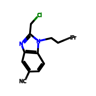 CC(C)CCn1c(CCl)nc2cc(C#N)ccc21